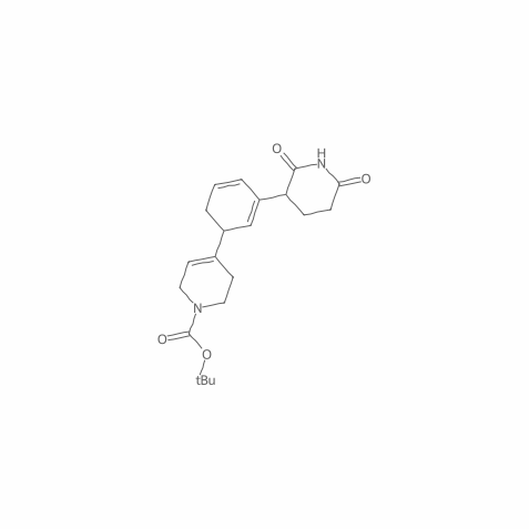 CC(C)(C)OC(=O)N1CC=C(C2C=C(C3CCC(=O)NC3=O)C=CC2)CC1